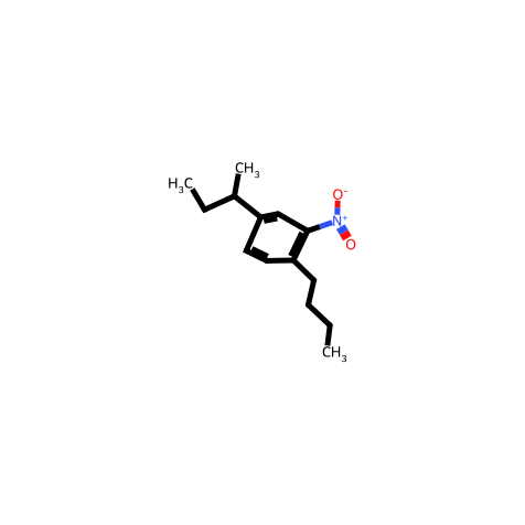 CCCCc1ccc(C(C)CC)cc1[N+](=O)[O-]